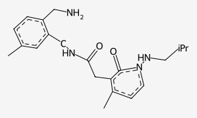 Cc1ccc(CN)c(CNC(=O)Cc2c(C)ccn(NCC(C)C)c2=O)c1